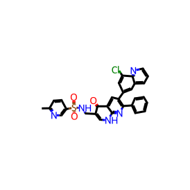 Cc1ccc(S(=O)(=O)NCc2c[nH]c3nc(-c4ccccc4)c(-c4cc(Cl)c5ncccc5c4)cc3c2=O)cn1